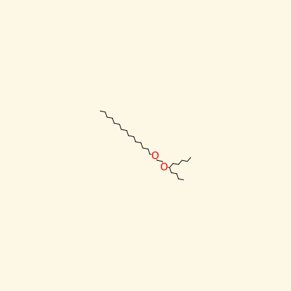 CCCCCCCCCCCCCCCOCCOC(CCCC)CCCCC